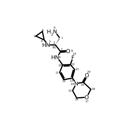 NC[C@@H](NC1CC1)C(=O)Nc1ccc(N2CCOCC2=O)cc1F